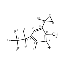 Cc1c(C(C)(C)C(F)(F)F)cc(C2(C)CC2)c(O)c1F